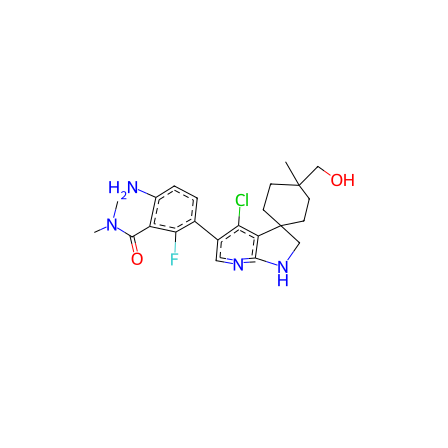 CN(C)C(=O)c1c(N)ccc(-c2cnc3c(c2Cl)C2(CCC(C)(CO)CC2)CN3)c1F